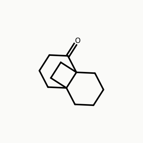 O=C1CCCC23CCCCC12CC3